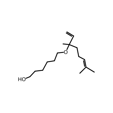 C=CC(C)(CCC=C(C)C)OCCCCCCO